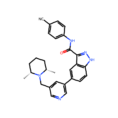 C[C@@H]1CCC[C@H](C)N1Cc1cncc(-c2ccc3[nH]nc(C(=O)Nc4ccc(C#N)cc4)c3c2)c1